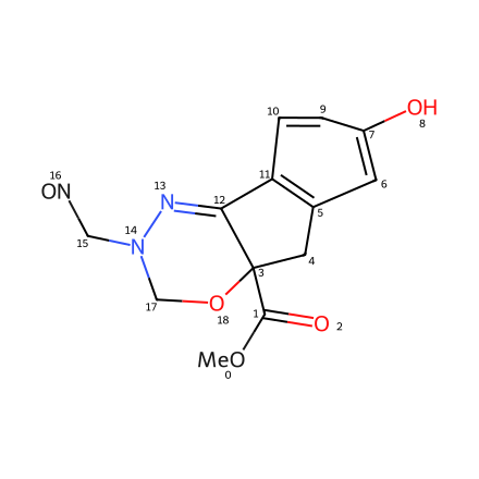 COC(=O)C12Cc3cc(O)ccc3C1=NN(CN=O)CO2